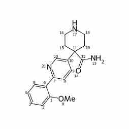 COc1ccccc1-c1ccc(C2(C(N)=O)CCNCC2)cn1